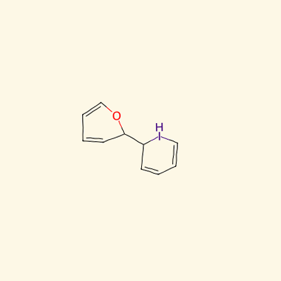 C1=COC(C2C=CC=C[IH]2)C=C1